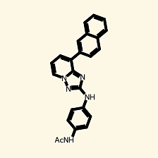 CC(=O)Nc1ccc(Nc2nc3c(-c4ccc5ccccc5c4)cccn3n2)cc1